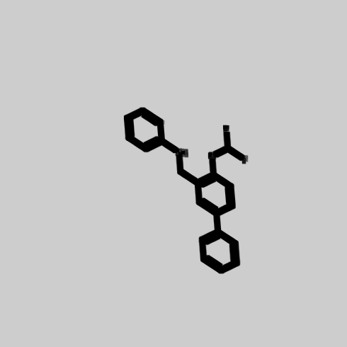 FC(F)Oc1ccc(-c2ccccc2)cc1CNc1[c]cccc1